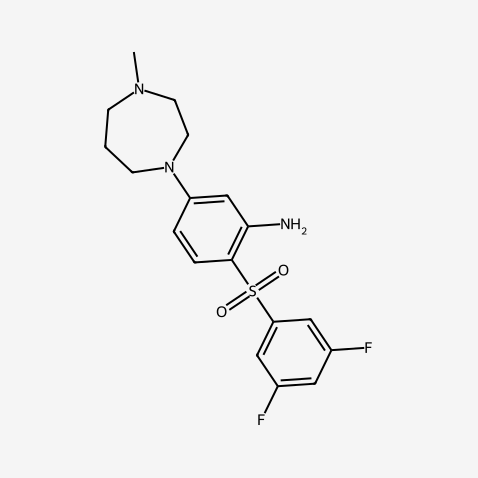 CN1CCCN(c2ccc(S(=O)(=O)c3cc(F)cc(F)c3)c(N)c2)CC1